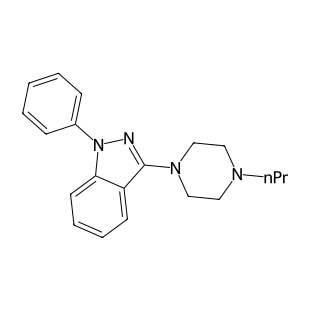 CCCN1CCN(c2nn(-c3ccccc3)c3ccccc23)CC1